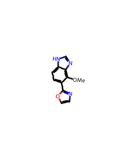 COc1c(-c2ncco2)ccc2[nH][c]nc12